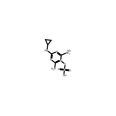 Nc1nc(NC2CC2)nc(N)[n+]1OS(=O)(=O)O.[OH-]